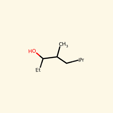 CCC(O)C(C)CC(C)C